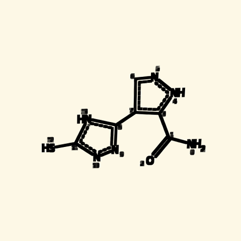 NC(=O)c1[nH]ncc1-c1nnc(S)[nH]1